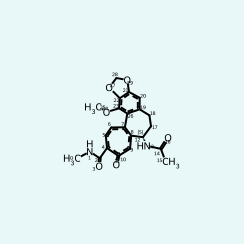 CNC(=O)c1ccc2c(cc1=O)[C@@H](NC(C)=O)CCc1cc3c(c(OC)c1-2)OCO3